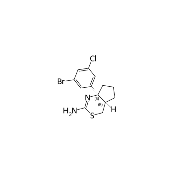 NC1=N[C@@]2(c3cc(Cl)cc(Br)c3)CCC[C@H]2CS1